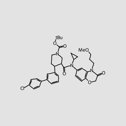 COCCCN1C(=O)COc2ccc(N(C(=O)C3CN(C(=O)OC(C)(C)C)CCC3c3cccc(-c4ccc(Cl)cc4)c3)C3CC3)cc21